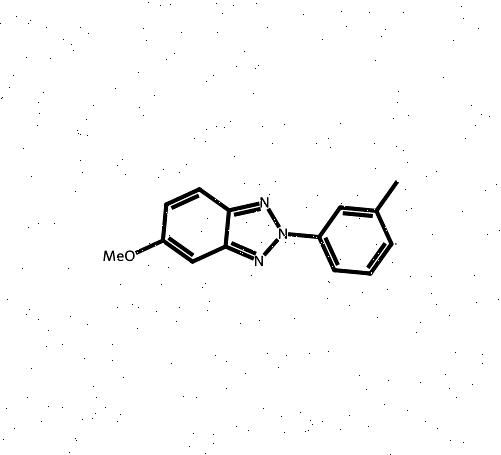 COc1ccc2nn(-c3cc[c]c(C)c3)nc2c1